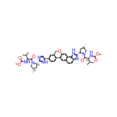 COC(=O)N[C@H](C(=O)N1C[C@@H](C)C[C@H]1c1ncc(-c2ccc3c(c2)COc2cc4c(ccc5nc([C@@H]6C[C@H](C)CN6C(=O)[C@@H](NC(=O)OC)C(C)C)[nH]c54)cc2-3)[nH]1)C(C)C